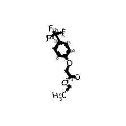 CCOC(=O)COc1ccc(C(F)(F)F)cc1